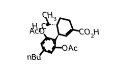 C=C(C)[C@@H]1CCC(C(=O)O)=C[C@H]1c1c(OC(C)=O)cc(CCCC)cc1OC(C)=O